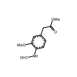 COC(=O)Cc1ccc(NC=O)c(OC)c1